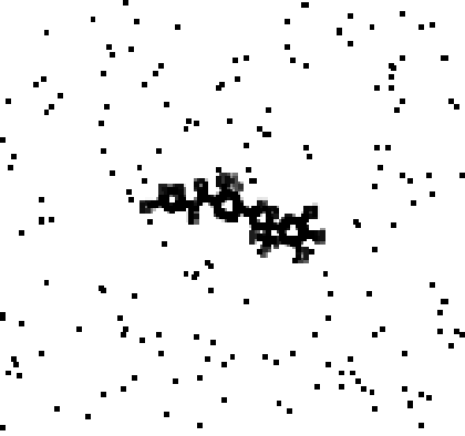 Cc1cc(C2=NO[C@@](c3cc(Cl)c(Cl)c(Cl)c3)(C(F)(F)F)C2)ccc1C(=O)NC1CC(Cl)=NO1